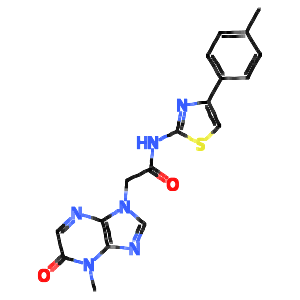 Cc1ccc(-c2csc(NC(=O)Cn3cnc4c3ncc(=O)n4C)n2)cc1